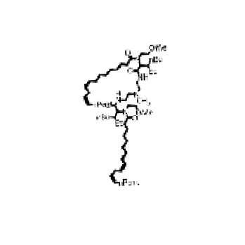 CCCCC/C=C\C/C=C\CCCCCCCC(=O)N(CCOC)C(C(=O)NCCN(C)CCNC(=O)C(C(CC)CCCC)N(CCOC)C(=O)CCCCCCC/C=C\C/C=C\CCCCC)C(CC)CCCC